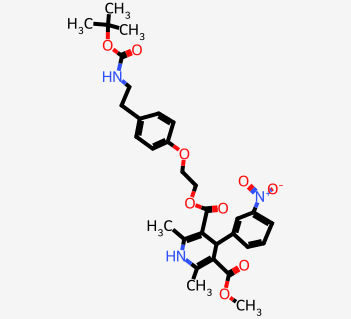 COC(=O)C1=C(C)NC(C)=C(C(=O)OCCOc2ccc(CCNC(=O)OC(C)(C)C)cc2)C1c1cccc([N+](=O)[O-])c1